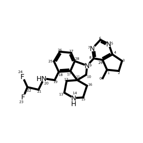 CC1CCc2ncnc(N3CC4(CCNCC4)c4c(CNCC(F)F)cccc43)c21